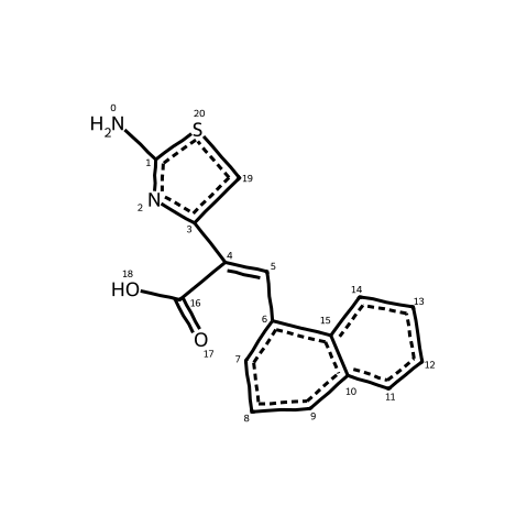 Nc1nc(/C(=C/c2cccc3ccccc23)C(=O)O)cs1